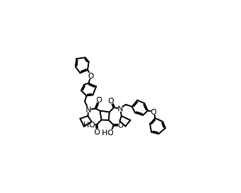 O=C(O)C1C(C(=O)O)C(C(=O)N(Cc2ccc(Oc3ccccc3)cc2)C2CCC2)C1C(=O)N(Cc1ccc(Oc2ccccc2)cc1)C1CCC1